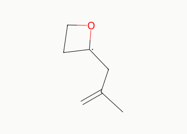 C=C(C)C[C]1CCO1